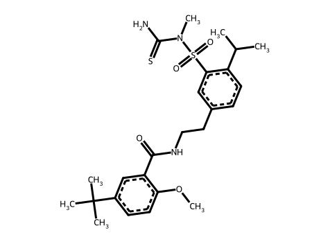 COc1ccc(C(C)(C)C)cc1C(=O)NCCc1ccc(C(C)C)c(S(=O)(=O)N(C)C(N)=S)c1